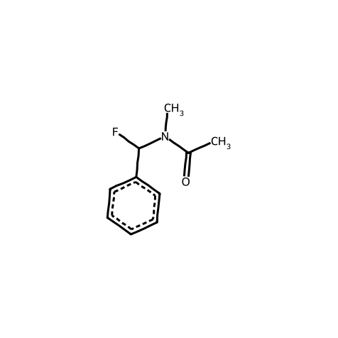 CC(=O)N(C)C(F)c1ccccc1